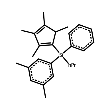 CCC[Si](C1=C(C)C(C)=C(C)C1C)(c1ccccc1)c1cc(C)cc(C)c1